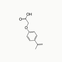 C=C(C)c1ccc(OCC(=O)O)cc1